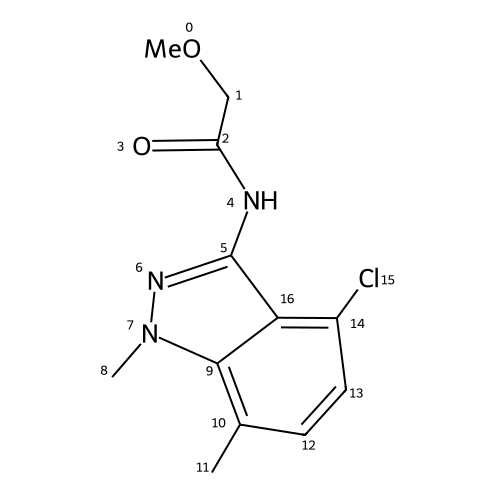 COCC(=O)Nc1nn(C)c2c(C)ccc(Cl)c12